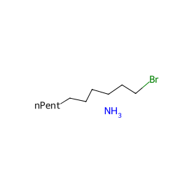 CCCCCCCCCCCBr.N